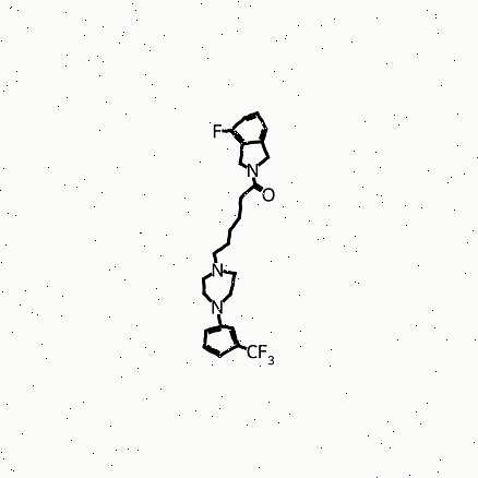 O=C(CCCCCN1CCN(c2cccc(C(F)(F)F)c2)CC1)N1Cc2cccc(F)c2C1